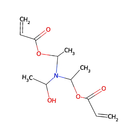 C=CC(=O)OC(C)N(C(C)O)C(C)OC(=O)C=C